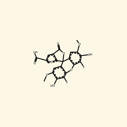 COc1cc2c(c(F)c1O)Oc1c(cc(OC)c(O)c1F)C21OC(=O)c2cc(C(=O)O)ccc21